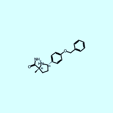 C[C@]1(C(N)=O)CC[C@@H](c2ccc(OCc3ccccc3)cc2)N1